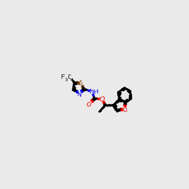 CC(OC(=O)Nc1ncc(C(F)(F)F)s1)c1coc2ccccc12